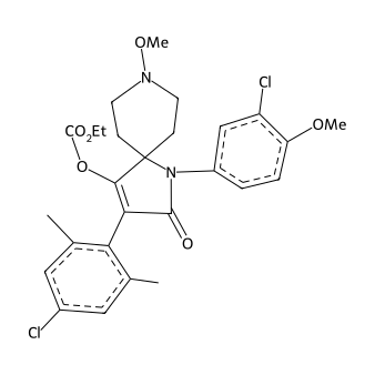 CCOC(=O)OC1=C(c2c(C)cc(Cl)cc2C)C(=O)N(c2ccc(OC)c(Cl)c2)C12CCN(OC)CC2